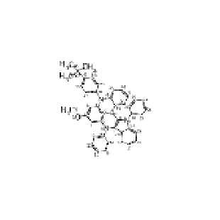 COc1cc2c3c(c1)N(c1ccccc1)c1c(n(-c4ccccc4)c4ccccc14)B3c1ccccc1N2c1ccc(C(C)(C)C)cc1